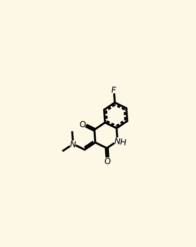 CN(C)C=C1C(=O)Nc2ccc(F)cc2C1=O